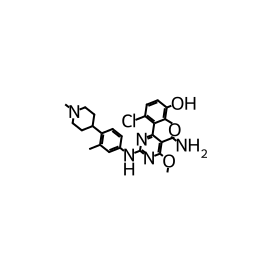 COc1nc(Nc2ccc(C3CCN(C)CC3)c(C)c2)nc(-c2c(Cl)ccc(O)c2C)c1C(N)=O